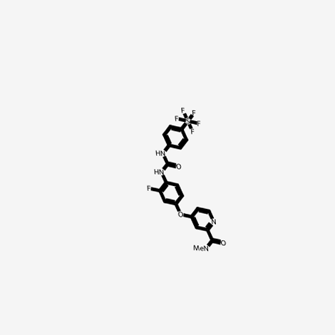 CNC(=O)c1cc(Oc2ccc(NC(=O)Nc3ccc(S(F)(F)(F)(F)F)cc3)c(F)c2)ccn1